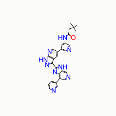 CC(C)(C)CC(=O)Nc1cncc(-c2cnc3[nH]nc(-c4nc5c(-c6cccnc6)cncc5[nH]4)c3c2)c1